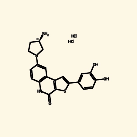 Cl.Cl.N[C@@H]1CCN(c2ccc3[nH]c(=O)c4sc(-c5ccc(O)c(O)c5)cc4c3c2)C1